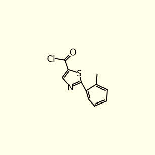 Cc1ccccc1-c1ncc(C(=O)Cl)s1